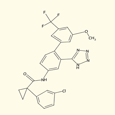 COc1cc(-c2ccc(NC(=O)C3(c4cccc(Cl)c4)CC3)cc2-c2nnn[nH]2)cc(C(F)(F)F)c1